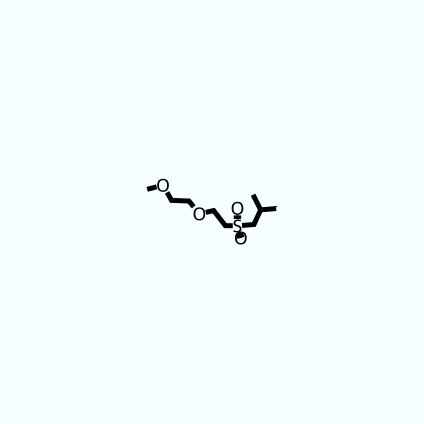 COCCOCCS(=O)(=O)CC(C)C